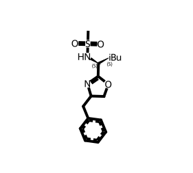 CC[C@H](C)[C@H](NS(C)(=O)=O)C1=NC(Cc2ccccc2)CO1